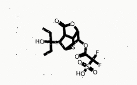 CCC(O)(CC)C1C2SC3C(OC(=O)C31)C2OC(=O)C(F)(F)S(=O)(=O)O